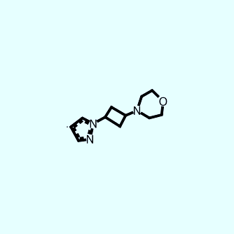 [c]1cnn(C2CC(N3CCOCC3)C2)c1